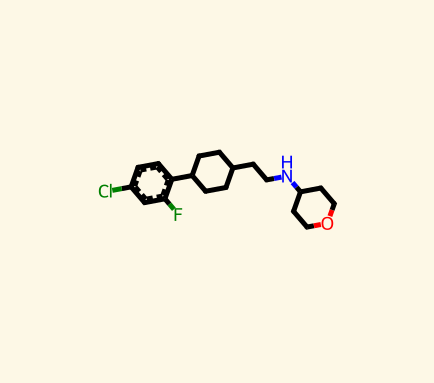 Fc1cc(Cl)ccc1C1CCC(CCNC2CCOCC2)CC1